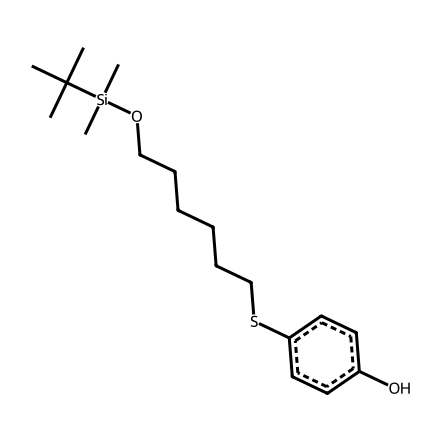 CC(C)(C)[Si](C)(C)OCCCCCCSc1ccc(O)cc1